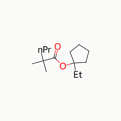 CCCC(C)(C)C(=O)OC1(CC)CCCC1